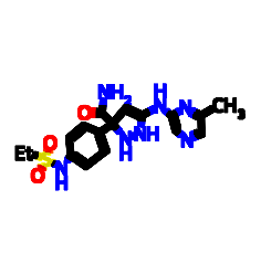 CCS(=O)(=O)Nc1ccc(C2(C(N)=O)C=C(Nc3cncc(C)n3)NN2)cc1